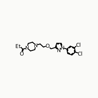 CCC(=O)N1CCN(CCOCc2ccn(-c3ccc(Cl)c(Cl)c3)n2)CC1